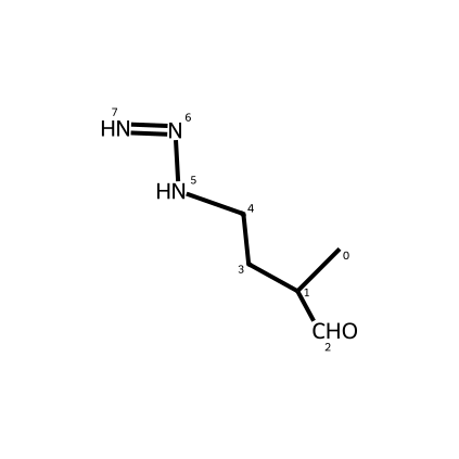 CC(C=O)CCNN=N